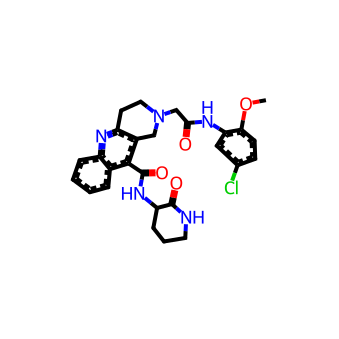 COc1ccc(Cl)cc1NC(=O)CN1CCc2nc3ccccc3c(C(=O)NC3CCCNC3=O)c2C1